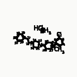 CC1(c2cccc(Cl)c2)CCC(N2CCN(CCc3ccccc3)CC2)CC1.Cl.N